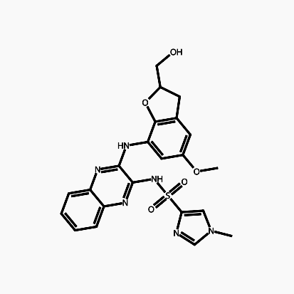 COc1cc2c(c(Nc3nc4ccccc4nc3NS(=O)(=O)c3cn(C)cn3)c1)OC(CO)C2